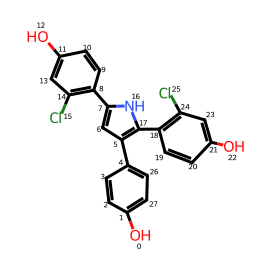 Oc1ccc(-c2cc(-c3ccc(O)cc3Cl)[nH]c2-c2ccc(O)cc2Cl)cc1